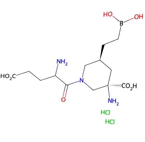 Cl.Cl.NC(CCC(=O)O)C(=O)N1C[C@@H](CCB(O)O)C[C@](N)(C(=O)O)C1